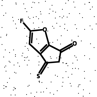 O=C1CC(=S)c2cc(F)oc21